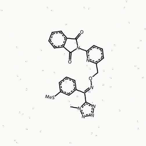 CSc1cccc(/C(=N\OCc2cccc(N3C(=O)c4ccccc4C3=O)n2)c2nnnn2C)c1